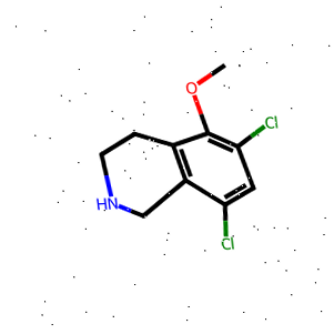 COc1c(Cl)cc(Cl)c2c1[CH]CNC2